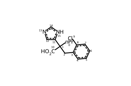 CCCC(Cc1ccccc1Cl)(C(=O)O)c1cnc[nH]1